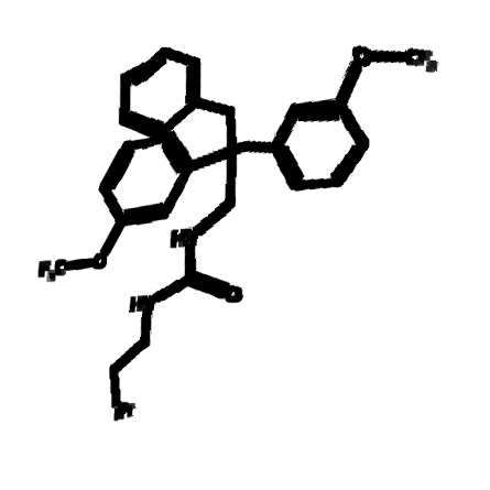 CC(C)CCNC(=O)NCC(Cc1ccccc1)(c1cccc(OC(F)(F)F)c1)c1cccc(OC(F)(F)F)c1